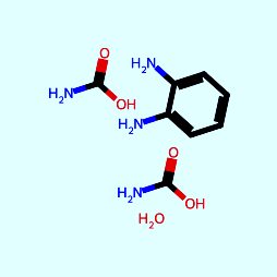 NC(=O)O.NC(=O)O.Nc1ccccc1N.O